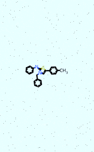 Cc1ccc(-c2cn(Cc3ccccc3)/c(=N\c3ccccc3)s2)cc1